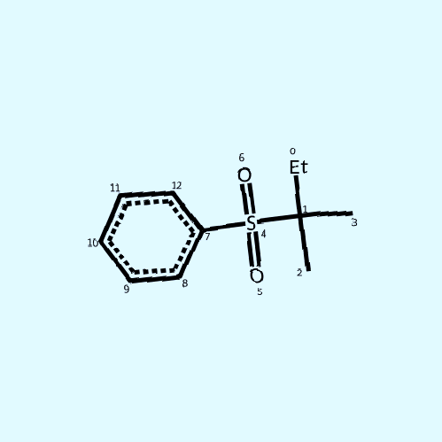 [CH2]CC(C)(C)S(=O)(=O)c1ccccc1